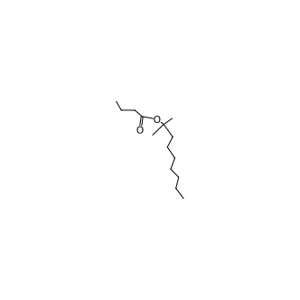 CCCCCCCC(C)(C)OC(=O)CCC